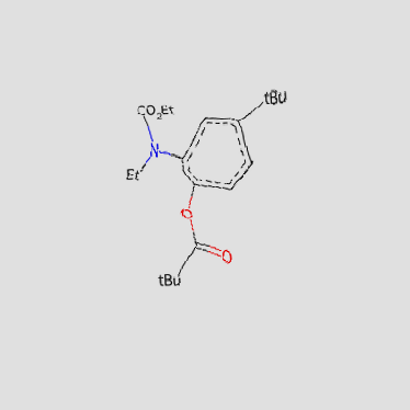 CCOC(=O)N(CC)c1cc(C(C)(C)C)ccc1OC(=O)C(C)(C)C